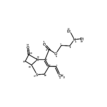 C=CC1=C(C(=O)OCCN(CC)CC)N2C(=O)CC2SC1